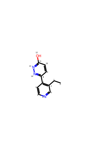 CCc1cnccc1-c1ccc(O)nn1